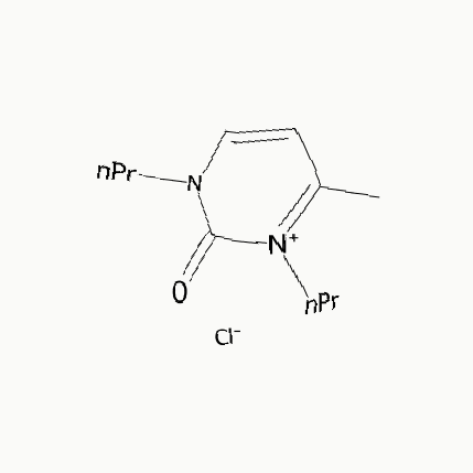 CCCn1ccc(C)[n+](CCC)c1=O.[Cl-]